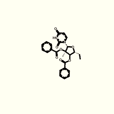 CC[C@H]1O[C@@H](n2ccc(=O)[nH]c2=O)[C@](C)(OC(=O)c2ccccc2)C1OC(=O)c1ccccc1